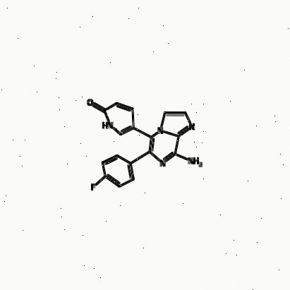 Nc1nc(-c2ccc(F)cc2)c(-c2ccc(=O)[nH]c2)n2ccnc12